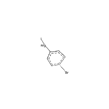 Brc1cc[c]([Mg][I])cc1